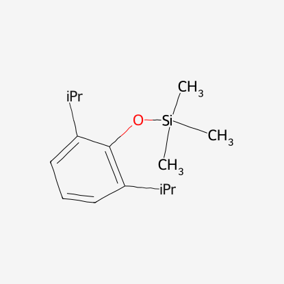 CC(C)c1cccc(C(C)C)c1O[Si](C)(C)C